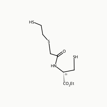 CCOC(=O)[C@@H](CS)NC(=O)CSCCS